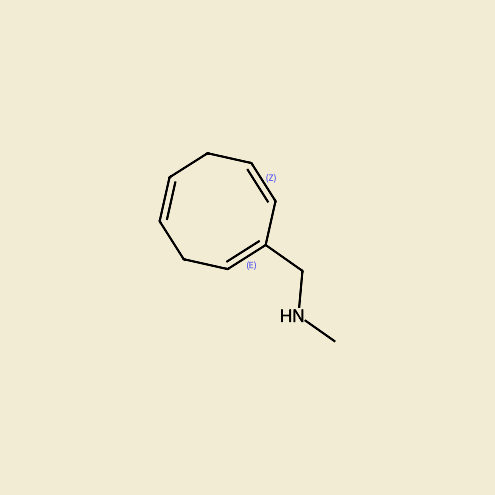 CNCC1=C/CC=CC/C=C\1